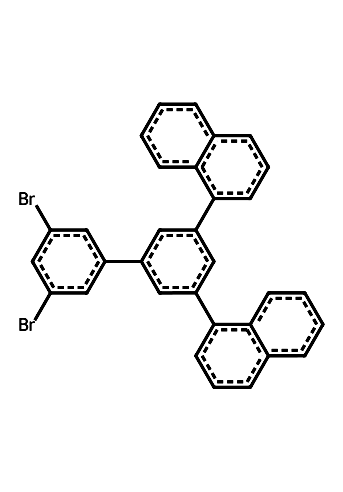 Brc1cc(Br)cc(-c2cc(-c3cccc4ccccc34)cc(-c3cccc4ccccc34)c2)c1